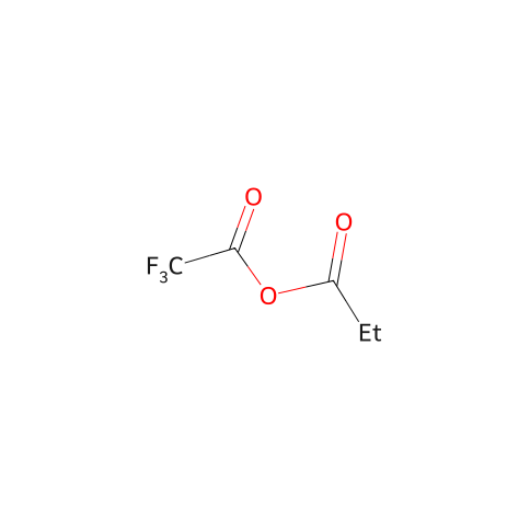 [CH2]CC(=O)OC(=O)C(F)(F)F